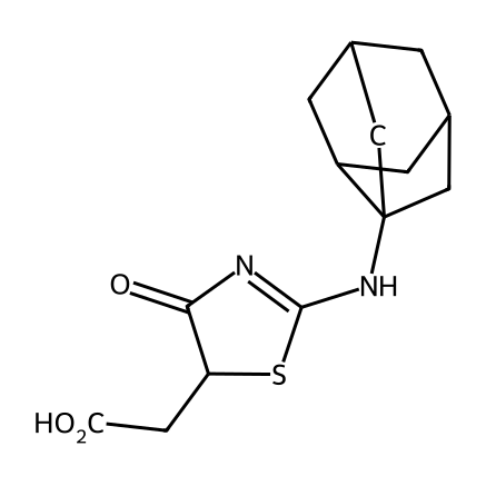 O=C(O)CC1SC(NC23CC4CC(CC2C4)C3)=NC1=O